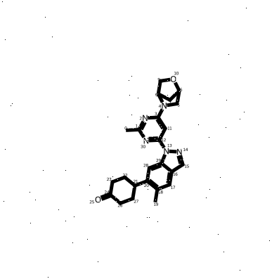 Cc1nc(N2CC3CC2CO3)cc(-n2ncc3cc(C)c(C4CCC(=O)CC4)cc32)n1